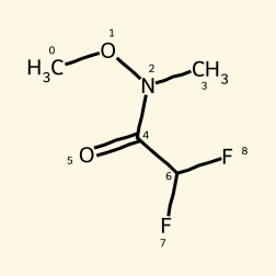 CON(C)C(=O)C(F)F